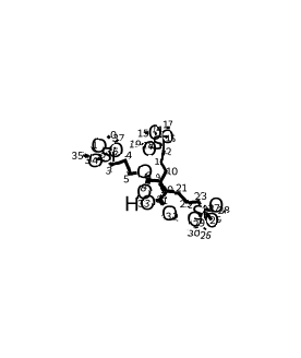 CO[Si](CCCOC(=O)/C(CCC[Si](OC)(OC)OC)=C(/CCC[Si](OC)(OC)OC)C(=O)O)(OC)OC